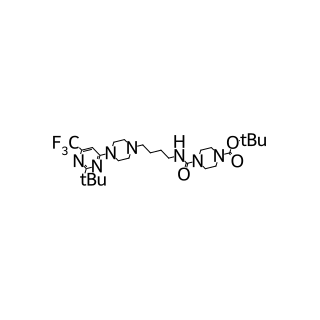 CC(C)(C)OC(=O)N1CCN(C(=O)NCCCCN2CCN(c3cc(C(F)(F)F)nc(C(C)(C)C)n3)CC2)CC1